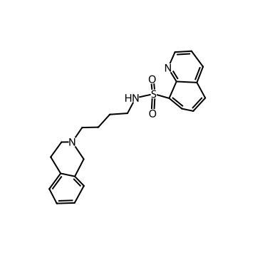 O=S(=O)(NCCCCN1CCc2ccccc2C1)c1cccc2cccnc12